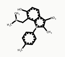 Cc1ccc(-n2c(C)c([N+](=O)[O-])c3ccc(O)c(CN(C)C)c32)cc1